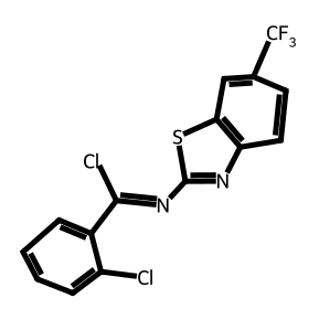 FC(F)(F)c1ccc2nc(N=C(Cl)c3ccccc3Cl)sc2c1